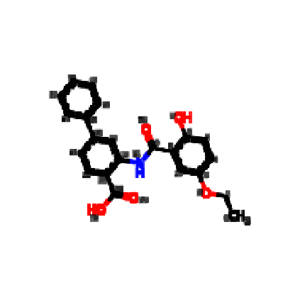 CCOc1ccc(O)c(C(=O)Nc2cc(-c3ccccc3)ccc2C(=O)O)c1